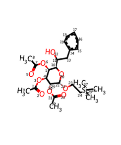 CC(=O)O[C@H]1[C@@H](OC(C)=O)[C@@H](C(O)Cc2ccccc2)O[C@H](OCC[Si](C)(C)C)[C@@H]1OC(C)=O